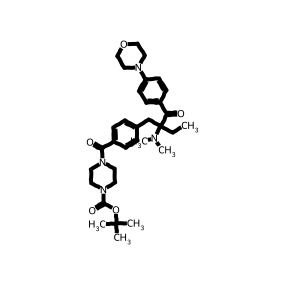 CCC(Cc1ccc(C(=O)N2CCN(C(=O)OC(C)(C)C)CC2)cc1)(C(=O)c1ccc(N2CCOCC2)cc1)N(C)C